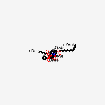 CCCCC/C=C\C/C=C\CCCCCCCC(=O)O[C@@H]1C[C@H](OC)[C@@]23[C@@H]4C[C@@]5(O)[C@H](OC(=O)c6ccccc6)[C@@H]4[C@](OC(=O)CCCCCCCCCCCCCCC)([C@@H](O)[C@@H]5OC)[C@H]4C[C@@H]2[C@]1(COC)CN(C)[C@H]43